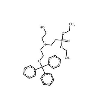 CCOP(=O)(CCN(CCO)CCOC(c1ccccc1)(c1ccccc1)c1ccccc1)OCC